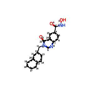 O=C(NO)c1ccc2ncn(Cc3ccc4ccccc4c3)c(=O)c2c1